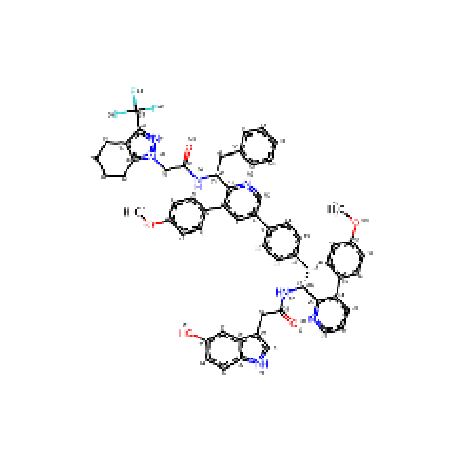 COc1ccc(-c2cc(-c3ccc(C[C@@H](NC(=O)Cc4c[nH]c5ccc(O)cc45)c4ncccc4-c4ccc(OC)cc4)cc3)cnc2[C@H](Cc2ccccc2)NC(=O)Cn2nc(C(F)(F)F)c3c2CCCC3)cc1